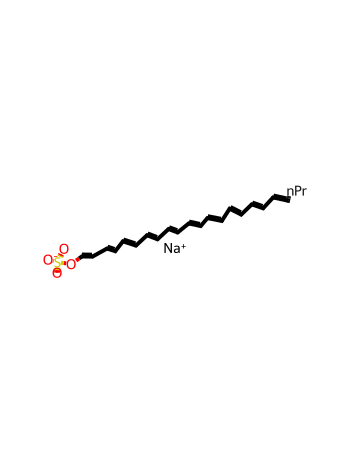 CCC/C=C/C=C/C=C/C=C/C=C/C=C/C=C/C=C/C=C/C=C/OS(=O)(=O)[O-].[Na+]